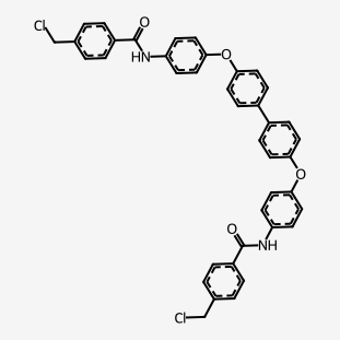 O=C(Nc1ccc(Oc2ccc(-c3ccc(Oc4ccc(NC(=O)c5ccc(CCl)cc5)cc4)cc3)cc2)cc1)c1ccc(CCl)cc1